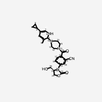 CC1=CC(C2CC2)=CNC1N1CCN(C(=O)c2ccc(N3C(=O)OC[C@H]3CO)cc2C#N)CC1